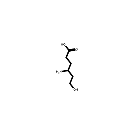 NC(CCO)CCC(=O)O